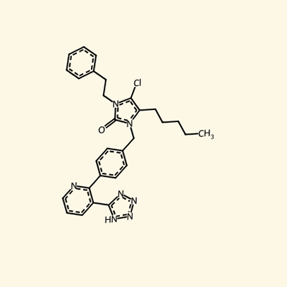 CCCCCc1c(Cl)n(CCc2ccccc2)c(=O)n1Cc1ccc(-c2ncccc2-c2nnn[nH]2)cc1